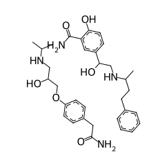 CC(C)NCC(O)COc1ccc(CC(N)=O)cc1.CC(CCc1ccccc1)NCC(O)c1ccc(O)c(C(N)=O)c1